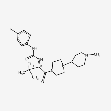 CN1CCC(N2CCN(C(=O)[C@H](NC(=O)Nc3ccc(I)cc3)C(C)(C)C)CC2)CC1